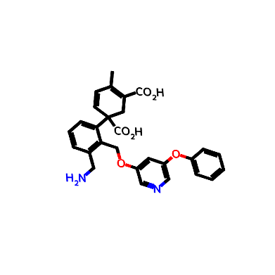 CC1=C(C(=O)O)CC(C(=O)O)(c2cccc(CN)c2COc2cncc(Oc3ccccc3)c2)C=C1